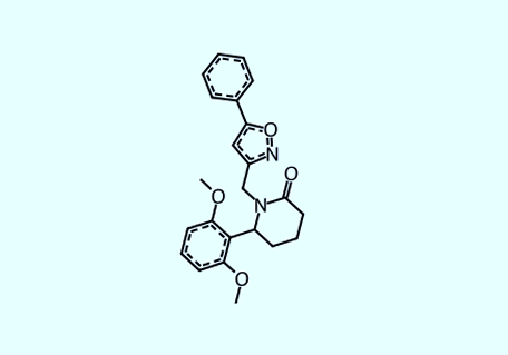 COc1cccc(OC)c1C1CCCC(=O)N1Cc1cc(-c2ccccc2)on1